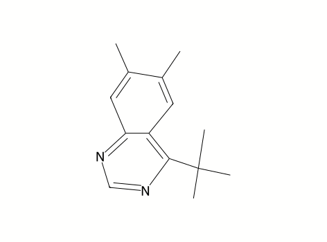 Cc1cc2ncnc(C(C)(C)C)c2cc1C